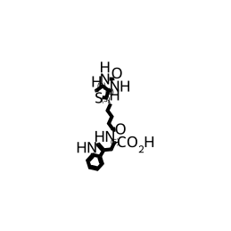 O=C(CCCC[C@@H]1SC[C@@H]2NC(=O)N[C@@H]21)N[C@@H](Cc1c[nH]c2ccccc12)C(=O)O